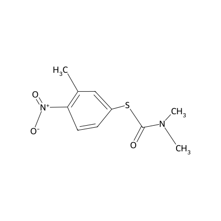 Cc1cc(SC(=O)N(C)C)ccc1[N+](=O)[O-]